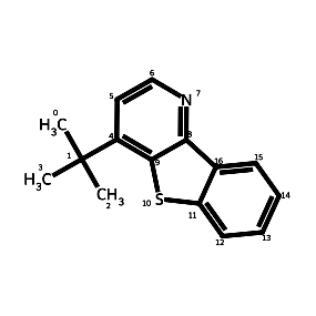 CC(C)(C)c1ccnc2c1sc1ccccc12